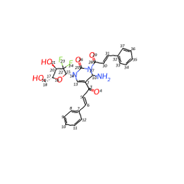 NC1C(C(=O)C=Cc2ccccc2)=CN([C@@H]2O[C@H](CO)[C@@H](O)C2(F)F)C(=O)N1C(=O)C=Cc1ccccc1